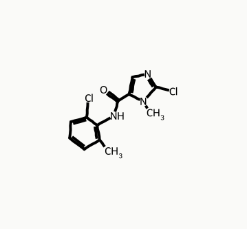 Cc1cccc(Cl)c1NC(=O)c1cnc(Cl)n1C